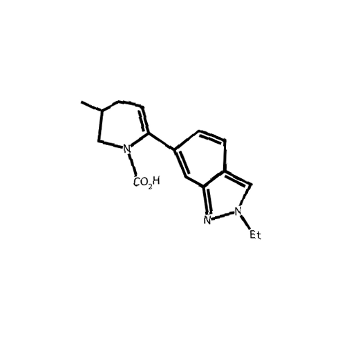 CCn1cc2ccc(C3=CCC(C)CN3C(=O)O)cc2n1